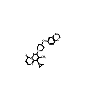 Cc1c(N2CCC(Oc3ccc4c(c3)OCCO4)CC2)nn2c(=O)ccnc2c1C1CC1